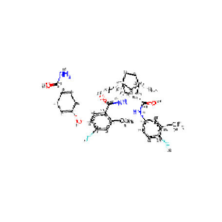 COc1cc(F)c(O[C@H]2CC[C@@H](C(N)=O)CC2)cc1C(=O)N[C@@H]1[C@H]2CC[C@H](C2)[C@@H]1C(=O)Nc1ccc(F)c(C(F)(F)F)c1